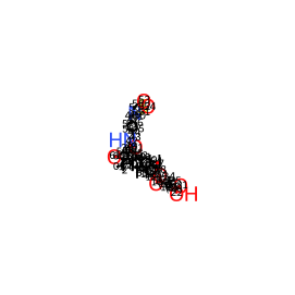 CC(C)C1=C2[C@H]3CC[C@@H]4[C@@]5(C)CC[C@H](OC(=O)[C@H]6C[C@@H](C(=O)O)C6(C)C)C(C)(C)[C@@H]5CC[C@@]4(C)[C@]3(C)CC[C@@]2(CC(=O)NCc2ccc(CN3CCS(=O)(=O)CC3)cc2)CC1=O